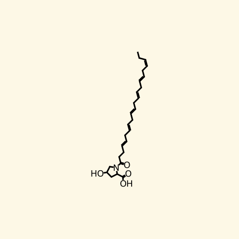 CC/C=C\C/C=C/C/C=C/C/C=C/C/C=C/C/C=C/CCC(=O)N1CC(O)CC1C(=O)O